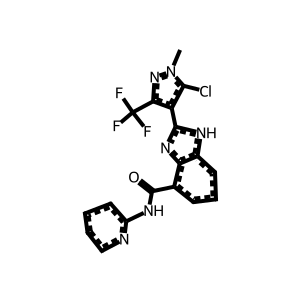 Cn1nc(C(F)(F)F)c(-c2nc3c(C(=O)Nc4ccccn4)cccc3[nH]2)c1Cl